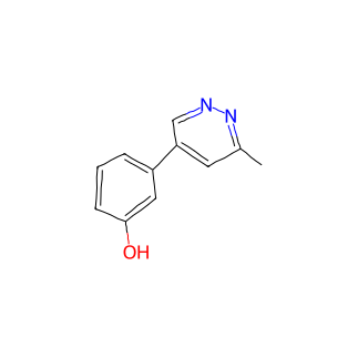 Cc1cc(-c2cccc(O)c2)cnn1